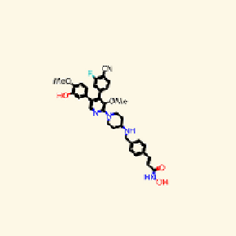 COc1ccc(-c2cnc(N3CCC(NCc4ccc(/C=C/C(=O)NO)cc4)CC3)c(OC)c2-c2ccc(C#N)c(F)c2)cc1O